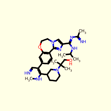 CN/C(=C(\C=N)c1ccc2c(c1)OCCn1cc(/C(=N/C(C)=N)NC(C)C)nc1-2)C1CCCN(C(C)(C)CO)C1